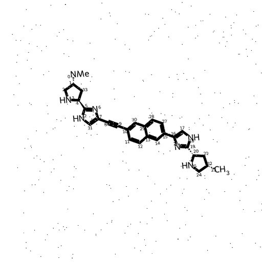 CN[C@H]1CN[C@H](c2nc(C#Cc3ccc4cc(-c5c[nH]c([C@@H]6C[C@H](C)CN6)n5)ccc4c3)c[nH]2)C1